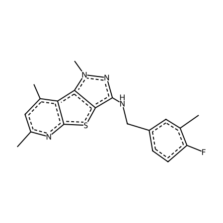 Cc1cc(C)c2c(n1)sc1c(NCc3ccc(F)c(C)c3)nn(C)c12